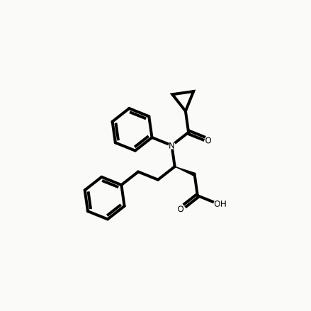 O=C(O)C[C@@H](CCc1ccccc1)N(C(=O)C1CC1)c1ccccc1